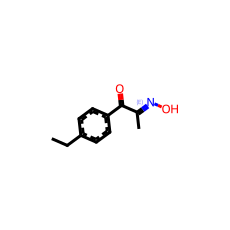 CCc1ccc(C(=O)/C(C)=N/O)cc1